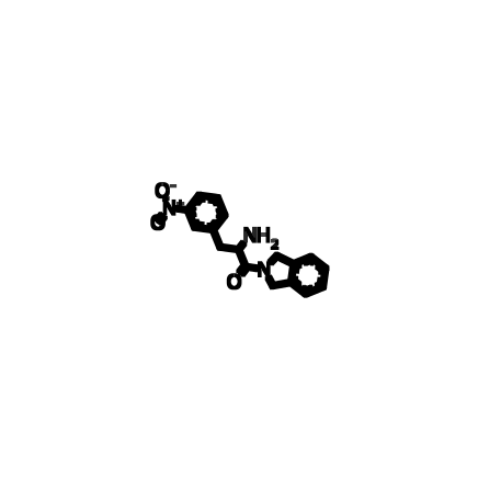 NC(Cc1cccc([N+](=O)[O-])c1)C(=O)N1Cc2ccccc2C1